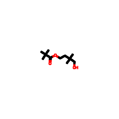 CC(C)(CO)CCOC(=O)C(C)(C)C